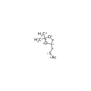 CC(=O)SCC1COC(C)(C)O1